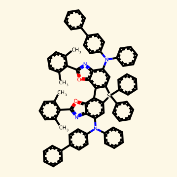 Cc1cccc(C)c1-c1nc2c(N(c3ccccc3)c3ccc(-c4ccccc4)cc3)cc3c(c2o1)-c1c(cc(N(c2ccccc2)c2ccc(-c4ccccc4)cc2)c2nc(-c4c(C)cccc4C)oc12)[Si]3(c1ccccc1)c1ccccc1